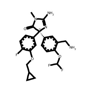 CN1C(=O)[C@](c2ccc(OC(F)F)c(CN)c2)(c2ccc(F)c(OCC3CC3)c2)N=C1N